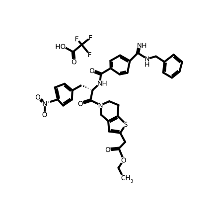 CCOC(=O)Cc1cc2c(s1)CCN(C(=O)[C@H](Cc1ccc([N+](=O)[O-])cc1)NC(=O)c1ccc(C(=N)NCc3ccccc3)cc1)C2.O=C(O)C(F)(F)F